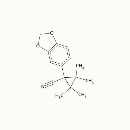 CC1(C)C(C)(C)C1(C#N)c1ccc2c(c1)OCO2